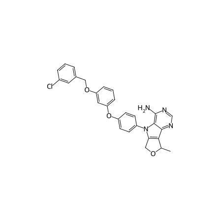 CC1OCc2c1c1ncnc(N)c1n2-c1ccc(Oc2cccc(OCc3cccc(Cl)c3)c2)cc1